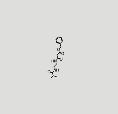 CC(C)C(=O)NCCNC(=O)CC(=O)OCc1ccccc1